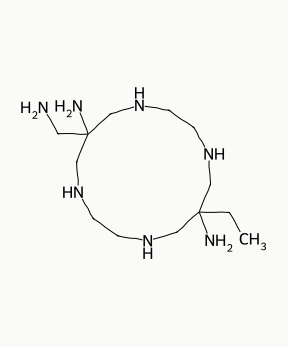 CCC1(N)CNCCNCC(N)(CN)CNCCNC1